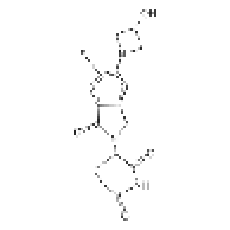 O=C1CCC(N2Cc3cc(N4CC(O)C4)c(F)cc3C2=O)C(=O)N1